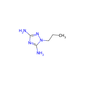 CCCn1nc(N)nc1N